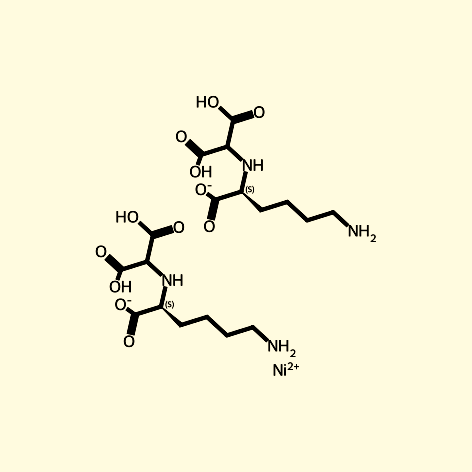 NCCCC[C@H](NC(C(=O)O)C(=O)O)C(=O)[O-].NCCCC[C@H](NC(C(=O)O)C(=O)O)C(=O)[O-].[Ni+2]